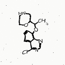 CC(Oc1cccc2c(Cl)ncnc12)C1CNCCO1